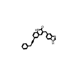 O=c1[nH]c2ccc(C#CCc3ccccc3)cc2cc1Cc1ccc2[nH]cnc2c1